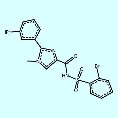 CC(C)c1cccc(-c2nc(C(=O)NS(=O)(=O)c3ccccc3Br)cn2C)c1